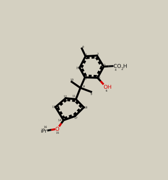 Cc1cc(C(=O)O)c(O)c(C(C)(C)c2ccc(OC(C)C)cc2)c1